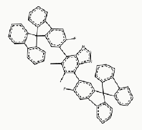 Cc1c(C)c(-c2cc3c(cc2F)-c2ccccc2C32c3ccccc3-c3ccccc32)c2nsnc2c1-c1cc2c(cc1F)-c1ccccc1C21c2ccccc2-c2ccccc21